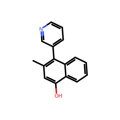 Cc1cc(O)c2ccccc2c1-c1cccnc1